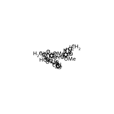 C=C1CC2C=Nc3cc(OCCCOc4cc5c(cc4OC)C(=O)N4CC(=C)CC4C(O)N5C(=O)OCC(C)SSc4ccccn4)c(OC)cc3C(=O)N2C1